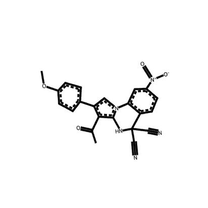 COc1ccc(-c2cn3c(c2C(C)=O)NC(C#N)(C#N)c2ccc([N+](=O)[O-])cc2-3)cc1